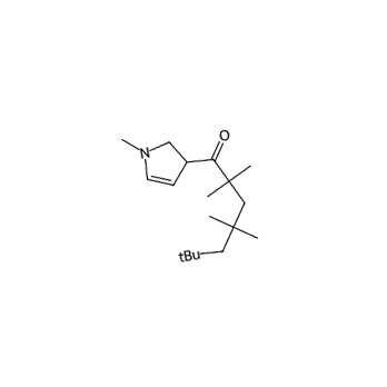 CN1C=CC(C(=O)C(C)(C)CC(C)(C)CC(C)(C)C)C1